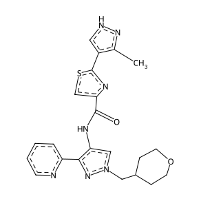 Cc1n[nH]cc1-c1nc(C(=O)Nc2cn(CC3CCOCC3)nc2-c2ccccn2)cs1